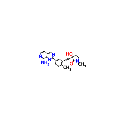 Cc1ccc(-c2ncc3ccnc(N)c3n2)cc1C#CC1(O)CCN(C)C1=O